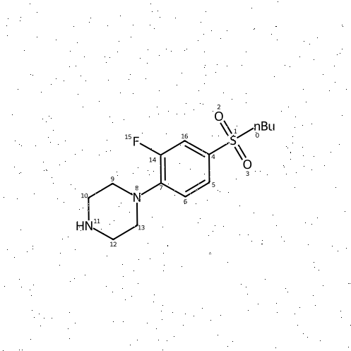 CCCCS(=O)(=O)c1ccc(N2CCNCC2)c(F)c1